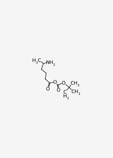 CC(N)CCCC(=O)OC(=O)OC(C)(C)C